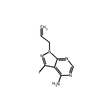 C=CCn1nc(I)c2c(N)ncnc21